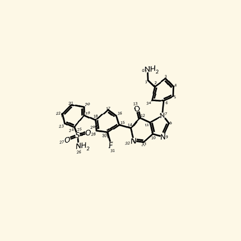 NCc1cccc(-n2cnc3c2C(=O)C(c2ccc(-c4ccccc4S(N)(=O)=O)cc2F)N=C3)c1